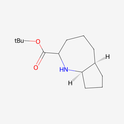 CC(C)(C)OC(=O)C1CCC[C@H]2CCC[C@H]2N1